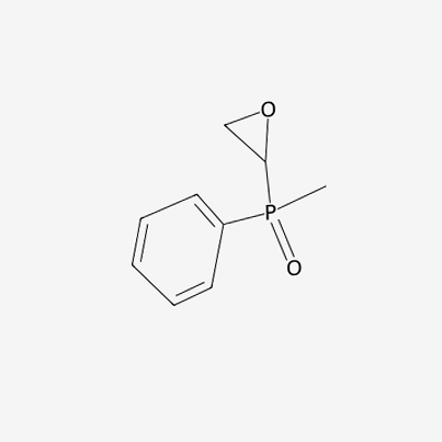 CP(=O)(c1ccccc1)C1CO1